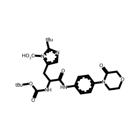 CC(C)(C)OC(=O)NC(Cc1cnc(C(C)(C)C)n1C(=O)O)C(=O)Nc1ccc(N2CCOCC2=O)cc1